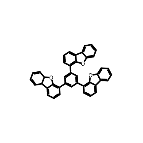 C1=CC2Oc3c(-c4cc(-c5cccc6c5oc5ccccc56)cc(-c5cccc6c5oc5ccccc56)c4)cccc3C2C=C1